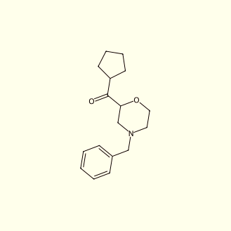 O=C(C1CCCC1)C1CN(Cc2ccccc2)CCO1